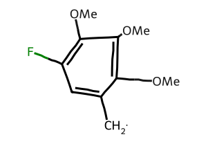 [CH2]c1cc(F)c(OC)c(OC)c1OC